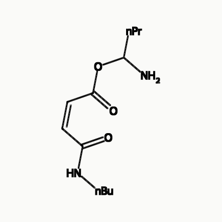 CCCCNC(=O)/C=C\C(=O)OC(N)CCC